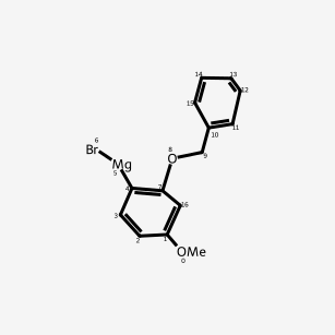 COc1cc[c]([Mg][Br])c(OCc2ccccc2)c1